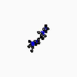 c1ccc(-c2cccc(-c3c4ccccc4cc4c(-c5ccccc5)nc(-n5c6cccc7c8cccc9c%10cc(-c%11ccc%12c(-c%13ccccc%13-c%13ccccc%13)c%13nc(-n%14c%15cccc%16c%17cccc%18c%19ccccc%19n(c%19cccc%14c%19c%16%15)c%17%18)nc(-c%14ccccc%14)c%13cc%12c%11)ccc%10n(c%10cccc5c%10c76)c89)nc34)c2)cc1